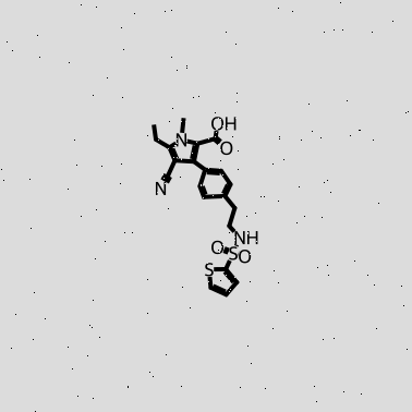 CCc1c(C#N)c(-c2ccc(CCNS(=O)(=O)c3cccs3)cc2)c(C(=O)O)n1C